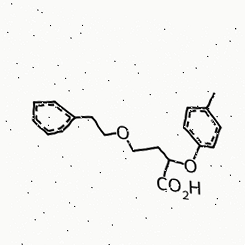 Cc1ccc(OC(CCOCCc2ccccc2)C(=O)O)cc1